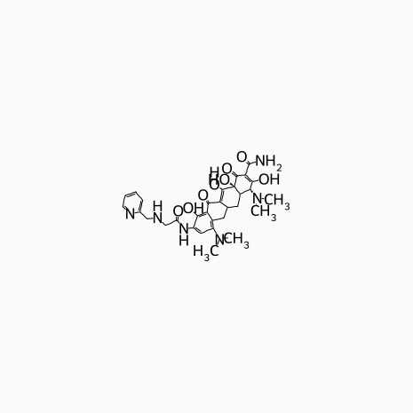 CN(C)c1cc(NC(=O)CNCc2ccccn2)c(O)c2c1CC1CC3[C@H](N(C)C)C(O)=C(C(N)=O)C(=O)[C@@]3(O)C(O)=C1C2=O